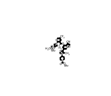 Cc1c(-c2cc(OC(C)c3cc(C(F)(F)F)cnc3N3CC(O[Si](C)(C)C(C)(C)C)C3)c3c(C#N)cnn3c2)nnn1C1CCN(C(=O)OC(C)(C)C)CC1